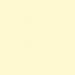 CCOc1ccc(Cl)c(C=O)c1I